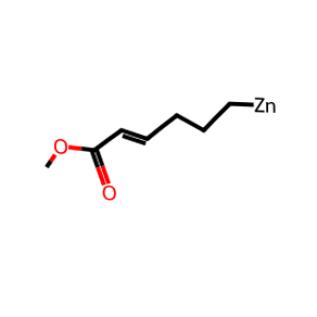 COC(=O)/C=C/CC[CH2][Zn]